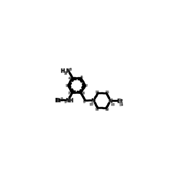 CCNc1cc(N)ccc1CN1CCN(CC)CC1